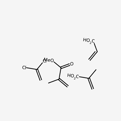 C=C(C)C(=O)O.C=C(C)C(=O)OC.C=C(Cl)Cl.C=CC(=O)O